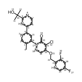 Cc1cnc(-c2ccnc(C(C)(C)O)n2)cc1-n1ncc(OCc2ncc(F)cc2F)c(Cl)c1=O